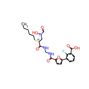 CCCCCC[C@H](CN(O)C=O)C(=O)NCNC(=O)c1ccc(-c2cccc(C(=O)O)c2F)o1